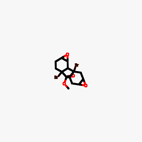 COC(=O)C1(Br)CCC2OC2C1C1(Br)CCC2OC2C1